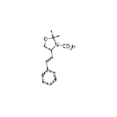 CC1(C)OCC(C=Cc2ccccc2)N1C(=O)O